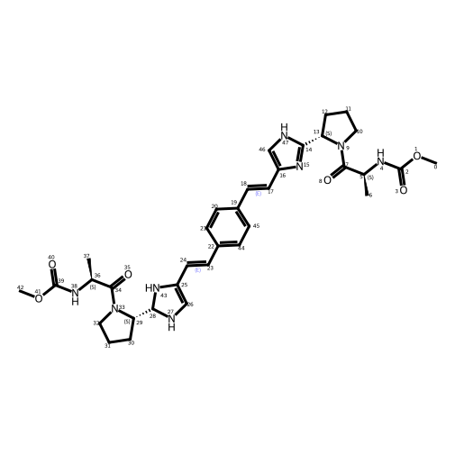 COC(=O)N[C@@H](C)C(=O)N1CCC[C@H]1c1nc(/C=C/c2ccc(/C=C/C3=CNC([C@@H]4CCCN4C(=O)[C@H](C)NC(=O)OC)N3)cc2)c[nH]1